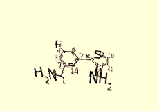 NCc1cc(F)cc(-c2sccc2N)c1